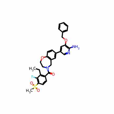 CCc1c(C(=O)N2CCOc3ccc(-c4cnc(N)c(OCc5ccccc5)c4)cc3C2)ccc(S(C)(=O)=O)c1F